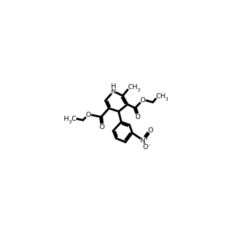 CCOC(=O)C1=CNC(C)=C(C(=O)OCC)C1c1cccc([N+](=O)[O-])c1